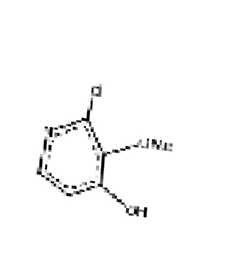 COc1c(O)ccnc1Cl